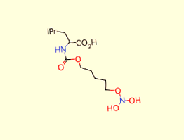 CC(C)CC(NC(=O)OCCCCCON(O)O)C(=O)O